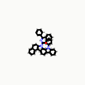 c1ccc(-c2nc(-n3c4ccc5ccccc5c4c4ccc5c6ccccc6n(-c6ccccc6)c5c43)cc3ccccc23)cc1